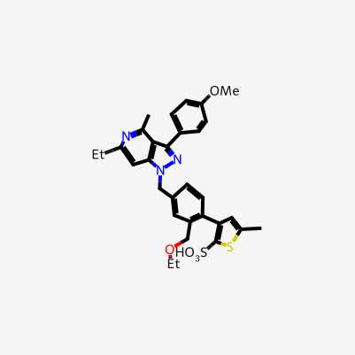 CCOCc1cc(Cn2nc(-c3ccc(OC)cc3)c3c(C)nc(CC)cc32)ccc1-c1cc(C)sc1S(=O)(=O)O